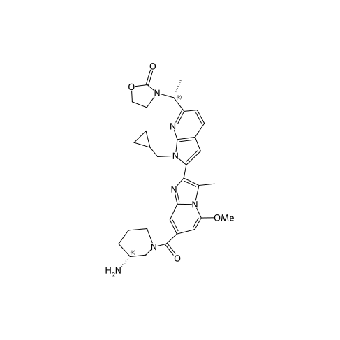 COc1cc(C(=O)N2CCC[C@@H](N)C2)cc2nc(-c3cc4ccc([C@@H](C)N5CCOC5=O)nc4n3CC3CC3)c(C)n12